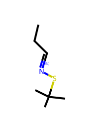 CC/C=N/SC(C)(C)C